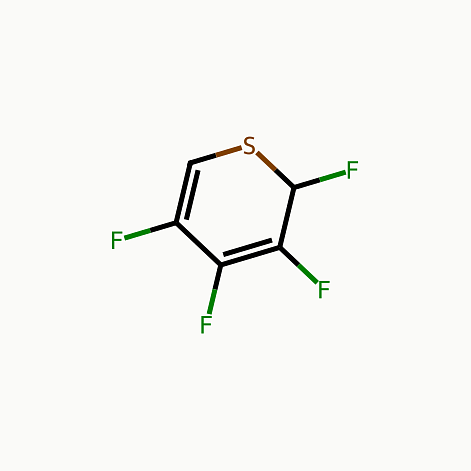 FC1=CSC(F)C(F)=C1F